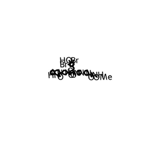 CONC(=O)CN1CCC(N2CCN(C(=O)C(Cc3cc(Br)c(O)c(Br)c3)OC(=O)N3CCC(N4CCc5ccccc5NC4=O)CC3)CC2)CC1